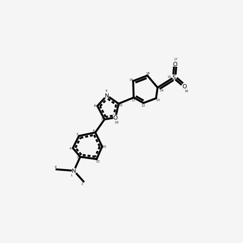 CN(C)c1ccc(-c2cnc(C3=CCC(=S(=O)=O)C=C3)o2)cc1